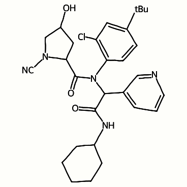 CC(C)(C)c1ccc(N(C(=O)C2CC(O)CN2C#N)C(C(=O)NC2CCCCC2)c2cccnc2)c(Cl)c1